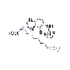 Brc1c(NC2=NCCN2)ccc2nccnc12.CCCCCCCC/C=C\CCCCCCCC(=O)O